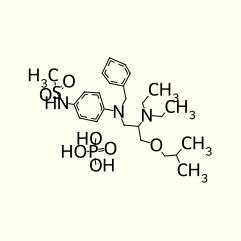 CCN(CC)C(COCC(C)C)CN(Cc1ccccc1)c1ccc(NS(C)(=O)=O)cc1.O=P(O)(O)O